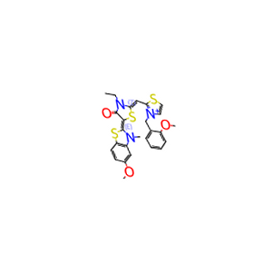 CCn1c(=O)/c(=C2\Sc3ccc(OC)cc3N2C)s/c1=C\c1scc[n+]1Cc1ccccc1OC